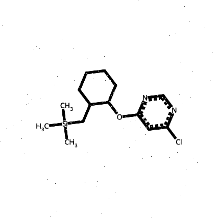 C[Si](C)(C)CC1CCCCC1Oc1cc(Cl)ncn1